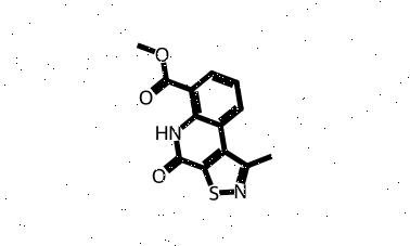 COC(=O)c1cccc2c1[nH]c(=O)c1snc(C)c12